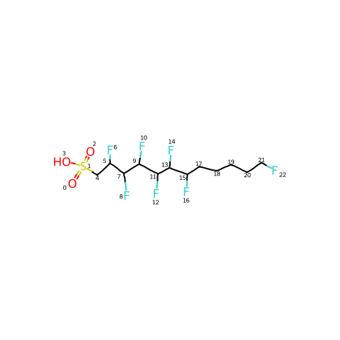 O=S(=O)(O)CC(F)C(F)C(F)C(F)C(F)C(F)CCCCCF